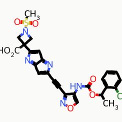 CC(OC(=O)Nc1conc1C#CC1=CC2=NC(C3(C(=O)O)CN(S(C)(=O)=O)C3)=CC2=N1)c1ccccc1Cl